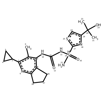 Cc1c(C2CC2)nc2c(c1NC(=O)N[SH](N)(=O)c1nc(C(C)(C)O)cs1)CCC2